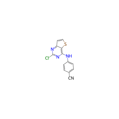 N#Cc1ccc(Nc2nc(Cl)nc3ccsc23)cc1